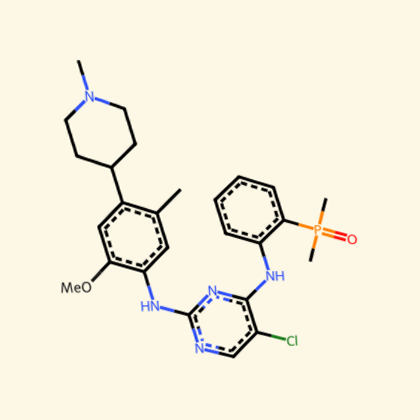 COc1cc(C2CCN(C)CC2)c(C)cc1Nc1ncc(Cl)c(Nc2ccccc2P(C)(C)=O)n1